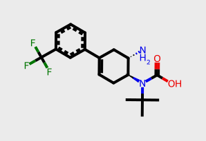 CC(C)(C)N(C(=O)O)[C@H]1CC=C(c2cccc(C(F)(F)F)c2)C[C@@H]1N